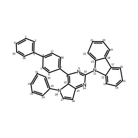 c1ccc(-c2ccc(-c3nc(-n4c5ccccc5c5ccccc54)nc4ccn(-c5ccccc5)c34)cc2)cc1